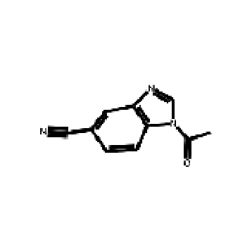 CC(=O)n1cnc2cc(C#N)ccc21